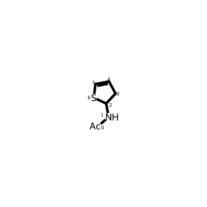 CC(=O)NC1CC=CS1